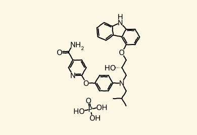 CC(C)CN(C[C@H](O)COc1cccc2[nH]c3ccccc3c12)c1ccc(Oc2ccc(C(N)=O)cn2)cc1.O=P(O)(O)O